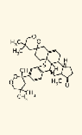 CC1(C)COOC2(CC[C@@]34Sc5cc(C6(C)CC(C)(C)COO6)ccc5[C@H]5C[C@]6(C)C(=O)CC[C@H]6[C@H](CC=C3C2)[C@H]54)C1